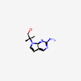 CC(C)(CO)n1c[c]c2cnc(N)nc21